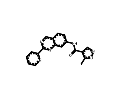 Cc1oncc1C(=O)Nc1ccc2cnc(-c3ccccn3)nc2c1